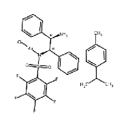 Cc1ccc(C(C)C)cc1.N[C@H](c1ccccc1)[C@@H](c1ccccc1)[N]([Ru][Cl])S(=O)(=O)c1c(F)c(F)c(F)c(F)c1F